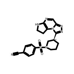 N#Cc1ccc(S(=O)(=O)N2CCC[C@H](c3nnc4cnc5c(n34)CCN5)C2)cc1